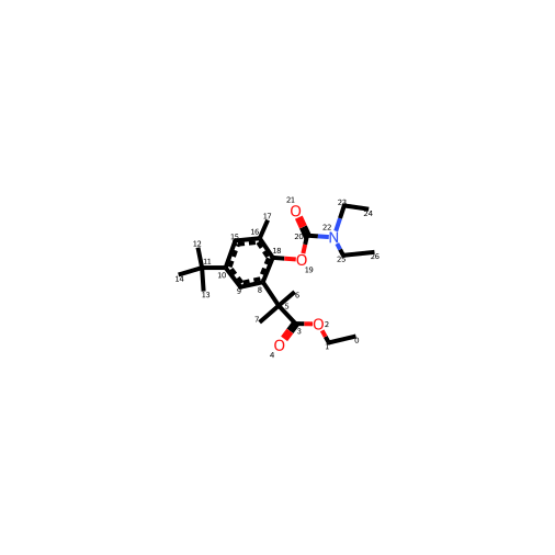 CCOC(=O)C(C)(C)c1cc(C(C)(C)C)cc(C)c1OC(=O)N(CC)CC